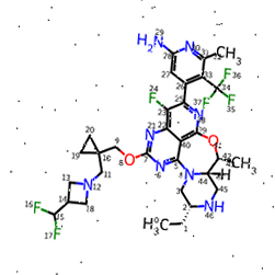 CC[C@@H]1CN2c3nc(OCC4(CN5CC(C(F)F)C5)CC4)nc4c(F)c(-c5cc(N)nc(C)c5C(F)(F)F)nc(c34)O[C@@H](C)[C@@H]2CN1